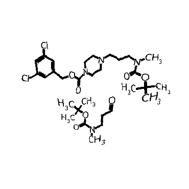 CN(CCC=O)C(=O)OC(C)(C)C.CN(CCCN1CCN(C(=O)OCc2cc(Cl)cc(Cl)c2)CC1)C(=O)OC(C)(C)C